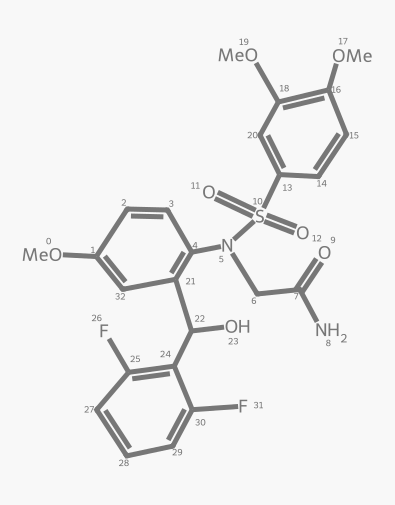 COc1ccc(N(CC(N)=O)S(=O)(=O)c2ccc(OC)c(OC)c2)c(C(O)c2c(F)cccc2F)c1